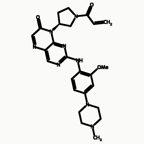 C=CC(=O)N1CC[C@H](n2c(=O)cnc3cnc(Nc4ccc(N5CCN(C)CC5)cc4OC)nc32)C1